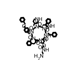 NCCNC(=O)O[C@@H]1C[C@H]2C(=O)N[C@@H](CCc3ccccc3)C(=O)N[C@H](Cc3c[nH]c4ccccc34)C(=O)N[C@@H](CC3CCNCC3)C(=O)N[C@@H](Cc3ccc(OCc4ccccc4)cc3)C(=O)N3Cc4ccccc4CC[C@H]3C(=O)N2C1